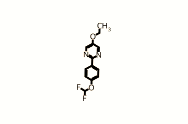 CCOc1cnc(-c2ccc(OC(F)F)cc2)nc1